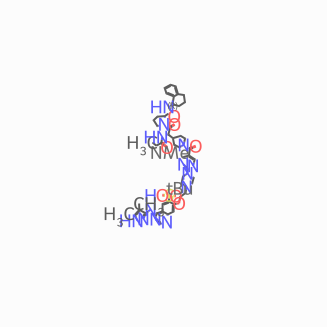 CNC(C)C(=O)NC(C(=O)N1CCCC1C(=O)N[C@@H]1CCCc2ccccc21)C1CCN(C(=O)c2cnc(N3CCN(CCOc4cc5ncnc(Nc6n[nH]c(C)c6C)c5cc4S(=O)(=O)C(C)(C)C)CC3)nc2)CC1